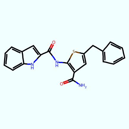 NC(=O)c1cc(Cc2ccccc2)sc1NC(=O)c1cc2ccccc2[nH]1